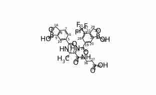 C[C@H](NC(=O)c1ccc2c(c1)B(O)OC2)[C@H](NC(=O)c1cc2c(c(C(F)(F)F)c1)COB2O)C(=O)NCCC(=O)O